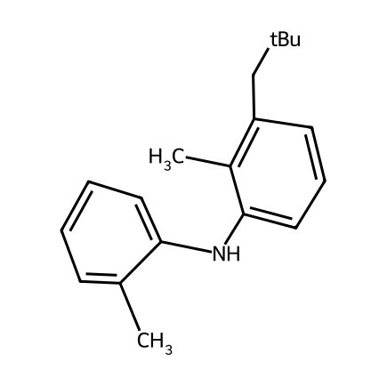 Cc1ccccc1Nc1cccc(CC(C)(C)C)c1C